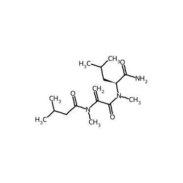 C=C(C(=O)N(C)[C@@H](CC(C)C)C(N)=O)N(C)C(=O)CC(C)C